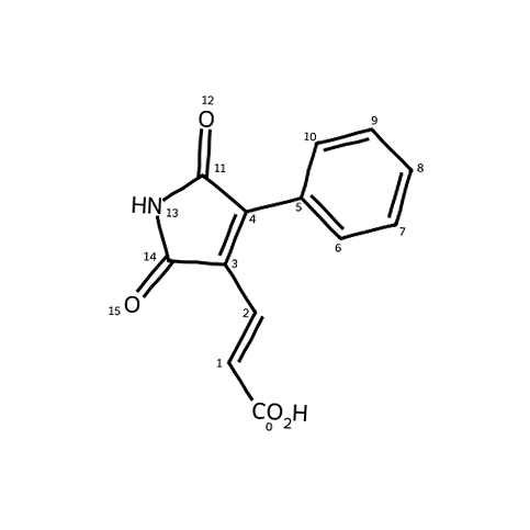 O=C(O)C=CC1=C(c2ccccc2)C(=O)NC1=O